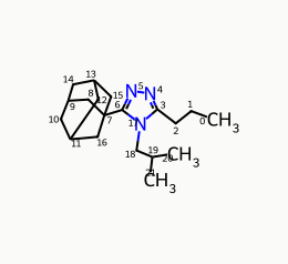 CCCc1nnc(C23CC4CC(CC(C4)C2)C3)n1CC(C)C